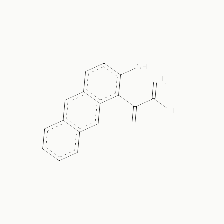 C=C(C)C(=O)c1c(N)ccc2cc3ccccc3cc12